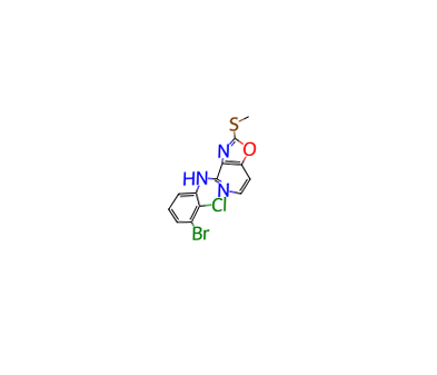 CSc1nc2c(Nc3cccc(Br)c3Cl)nccc2o1